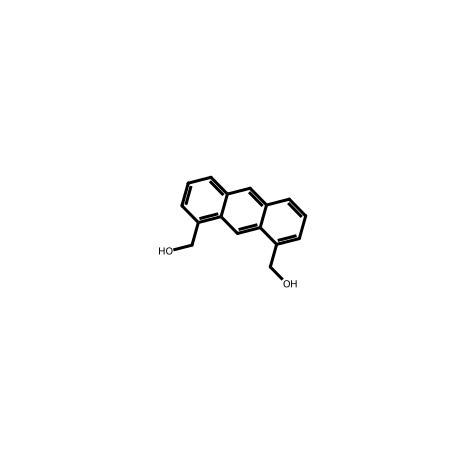 OCc1cccc2cc3cccc(CO)c3cc12